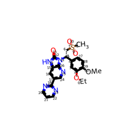 CCOc1cc([C@@H](CS(C)(=O)=O)n2c(=O)[nH]c3cc(-c4ncccn4)cnc32)ccc1OC